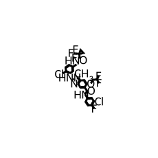 Cn1c(Nc2cc(CNC(=O)C3(C(F)(F)F)CC3)ccc2Cl)nc2cc(C(=O)Nc3ccc(F)c(Cl)c3)c(OCC(F)F)cc21